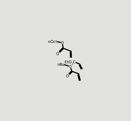 C=CC(=O)OCC.C=CC(=O)OCCCC.C=CC(=O)OCCCCCCCC